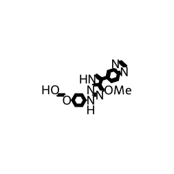 COc1nc(N[C@H]2CC[C@@H](OCCO)CC2)nc2[nH]cc(-c3ccc4nccnc4c3)c12